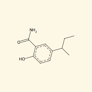 CCC(C)c1ccc(O)c(C(N)=O)c1